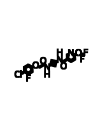 O=C(COc1ccc(Cl)c(F)c1)NC12CC(NC(=O)c3ccc(OC(F)F)nc3)(C1)C2